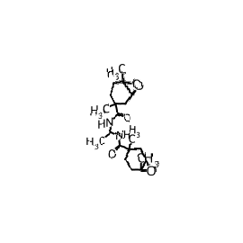 CC(NC(=O)C1(C)CCC2(C)OC2C1)NC(=O)C1(C)CCC2(C)OC2C1